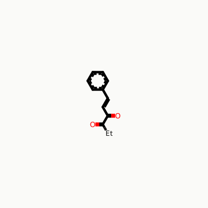 CCC(=O)C(=O)/C=C/c1ccccc1